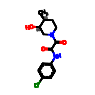 C[C@H]1CCN(C(=O)C(=O)Nc2ccc(Cl)cc2)C[C@H]1O